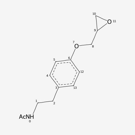 CC(=O)NCCc1ccc(OCC2CO2)cc1